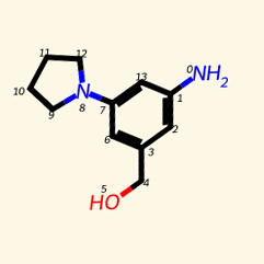 Nc1cc(CO)cc(N2CCCC2)c1